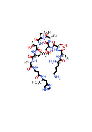 CC[C@H](C)[C@H](NC(=O)[C@H](CO)NC(=O)[C@H](CO)NC(=O)[C@H](CC(C)C)NC(=O)[C@@H](N)CCCCN)C(=O)N[C@@H](CC(=O)O)C(=O)N[C@H](C(=O)N[C@@H](CC(=O)O)C(=O)N[C@H](C(=O)NCCC(=O)N[C@@H](Cc1c[nH]cn1)C(=O)O)C(C)C)[C@@H](C)O